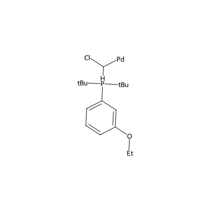 CCOc1cccc([PH]([CH](Cl)[Pd])(C(C)(C)C)C(C)(C)C)c1